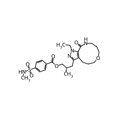 CCn1nc(C[C@@H](C)COC(=O)c2ccc(S(=O)(=O)NC)cc2)c2c1C(=O)NCCCOCCC2